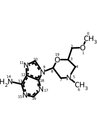 COCC1CN(C)CC(n2cnc3c(N)ncnc32)O1